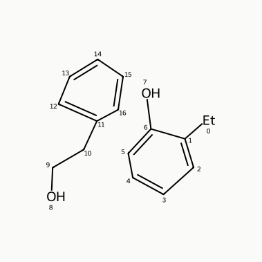 CCc1ccccc1O.OCCc1ccccc1